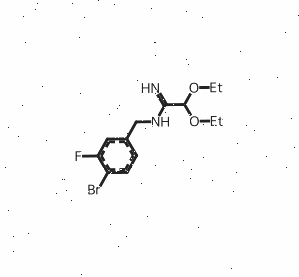 CCOC(OCC)C(=N)NCc1ccc(Br)c(F)c1